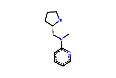 CN(C[C@@H]1CCCN1)c1ccccn1